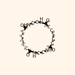 O=C1CCSCCC(=O)NCCNC(=O)CCSCCC(=O)NCCN1